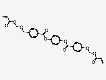 C=CC(=O)OCOCc1ccc(C(=O)Oc2ccc(OC(=O)c3ccc(OCOC(=O)C=C)cc3)cc2)cc1